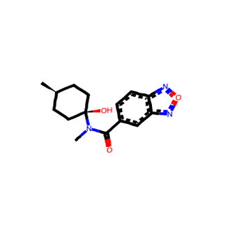 CN(C(=O)c1ccc2nonc2c1)[C@]1(O)CC[C@@H](C)CC1